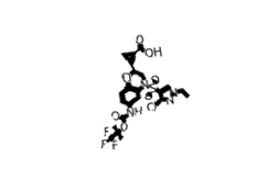 CCn1cc(S(=O)(=O)N2CC([C@H]3C[C@H]3C(=O)O)Oc3ccc(NC(=O)OC(C)(C)C(F)(F)F)cc32)c(Cl)n1